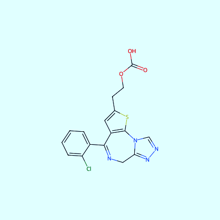 O=C(O)OCCc1cc2c(s1)-n1cnnc1CN=C2c1ccccc1Cl